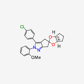 COc1ccccc1-n1nc2c(c1-c1ccc(Cl)cc1)CC1(C2)O[C@H]2CCC[C@H]2O1